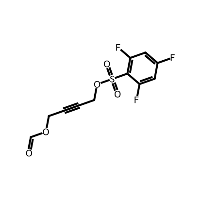 O=COCC#CCOS(=O)(=O)c1c(F)cc(F)cc1F